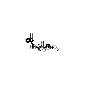 O=C(Nc1nnc(NCCc2c[nH]c3ccccc23)s1)c1ccc([N+](=O)[O-])o1